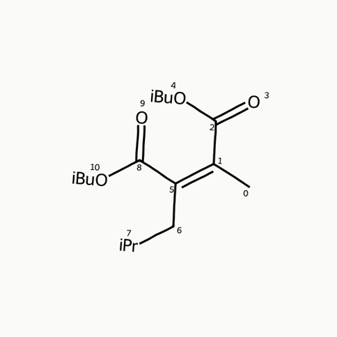 CC(C(=O)OCC(C)C)=C(CC(C)C)C(=O)OCC(C)C